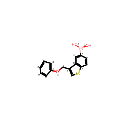 OB(O)c1ccc2scc(COc3ccccc3)c2c1